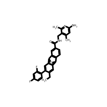 CCc1cc2c(cc1-c1ccc(F)cc1F)c1oc2c2ccc(C(=O)NCc3c(C)cc(N)nc3C)cc21